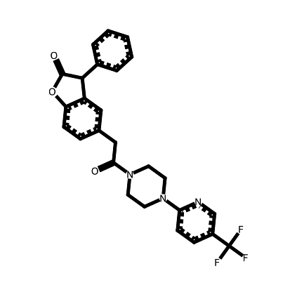 O=C1Oc2ccc(CC(=O)N3CCN(c4ccc(C(F)(F)F)cn4)CC3)cc2C1c1ccccc1